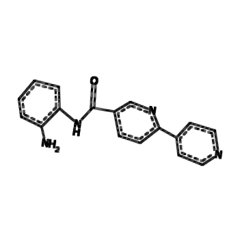 Nc1ccccc1NC(=O)c1ccc(-c2ccncc2)nc1